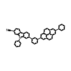 N#Cc1ccc2c3ccc(-c4cccc(-c5cc6ccc7cc(-c8ccccc8)cc8ccc(c5)c6c78)c4)cc3n(-c3ccccc3)c2c1